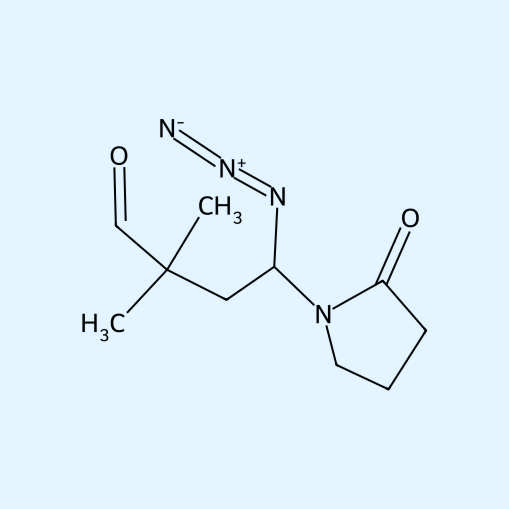 CC(C)(C=O)CC(N=[N+]=[N-])N1CCCC1=O